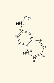 ONc1ccc2c(c1)C=CC=NN2